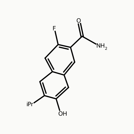 CC(C)c1cc2cc(F)c(C(N)=O)cc2cc1O